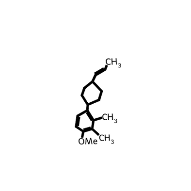 C/C=C/C1CCC(c2ccc(OC)c(C)c2C)CC1